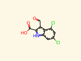 O=Cc1c(C(=O)O)[nH]c2cc(Cl)cc(Cl)c12